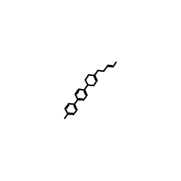 CC=CCCC1=CCC(c2ccc(-c3ccc(C)cc3)cc2)CC1